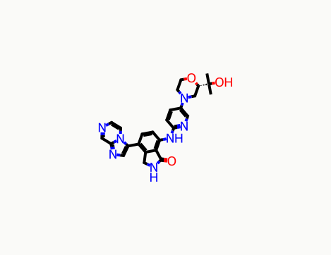 CC(C)(O)[C@@H]1CN(c2ccc(Nc3ccc(-c4cnc5cnccn45)c4c3C(=O)NC4)nc2)CCO1